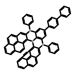 c1ccc(-c2ccc(-c3cc4c5c(c3)N(c3ccccc3)c3cc6ccc7cccc8ccc(c3B5c3c(cc5ccc9cccc%10ccc3c5c9%10)N4c3ccccc3)c6c78)cc2)cc1